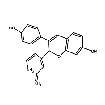 C=C/C=C(\C=C/N)C1Oc2cc(O)ccc2C=C1c1ccc(O)cc1